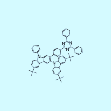 CC(C)(C)c1ccc2c(c1)c1cc(-n3c4ccc(C(C)(C)C)cc4c4cc(C(C)(C)C)ccc43)c(-c3ccc(-c4nc(-c5ccccc5)nc(-c5ccccc5)n4)cc3)cc1n2-c1ccccc1